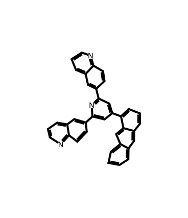 c1ccc2cc3c(-c4cc(-c5ccc6ncccc6c5)nc(-c5ccc6ncccc6c5)c4)cccc3cc2c1